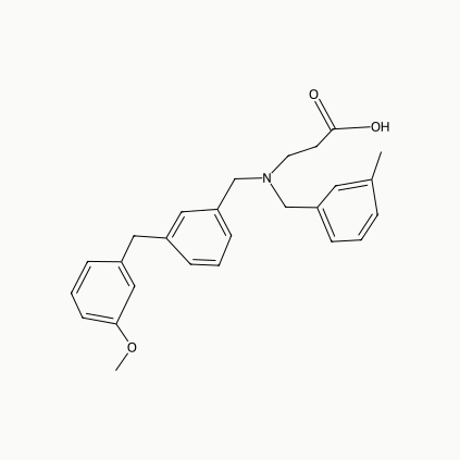 COc1cccc(Cc2cccc(CN(CCC(=O)O)Cc3cccc(C)c3)c2)c1